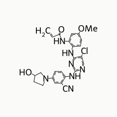 C=CC(=O)Nc1cc(OC)ccc1Nc1nc(Nc2ccc(N3CCC(O)C3)cc2C#N)ncc1Cl